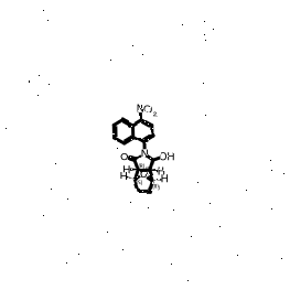 O=C1[C@@H]2[C@H](C(O)N1c1ccc([N+](=O)[O-])c3ccccc13)[C@H]1CC[C@@H]2O1